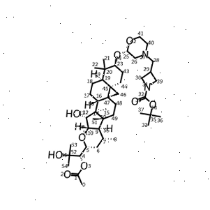 CC(=O)O[C@@H]([C@H]1C[C@@H](C)[C@H]2[C@H](O1)[C@H](O)[C@@]1(C)[C@@H]3CC[C@H]4C(C)(C)[C@@H](O[C@H]5CN(CC6CN(C(=O)OC(C)(C)C)C6)CCO5)CC[C@@]45C[C@@]35CC[C@]21C)C(C)(C)O